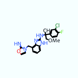 COCC(C)(Nc1nc2c(Cn3ccoc3=N)cccc2[nH]1)c1ccc(F)c(Cl)c1